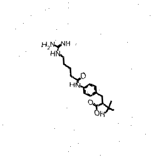 CC(C)(C)C(Cc1ccc(NC(=O)CCCCNC(=N)N)cc1)C(=O)O